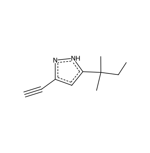 C#Cc1cc(C(C)(C)CC)[nH]n1